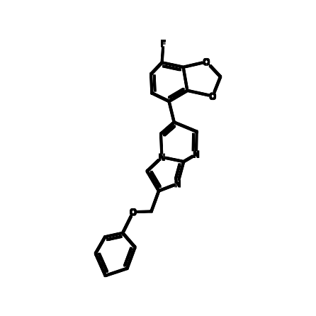 Fc1ccc(-c2cnc3nc(COc4ccccc4)cn3c2)c2c1OCO2